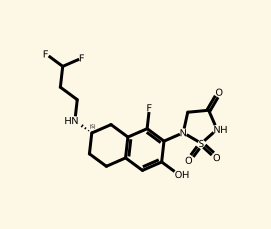 O=C1CN(c2c(O)cc3c(c2F)C[C@@H](NCCC(F)F)CC3)S(=O)(=O)N1